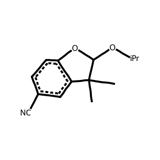 CC(C)OC1Oc2ccc(C#N)cc2C1(C)C